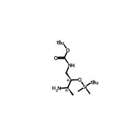 C[C@@H](N)[C@@H](CNC(=O)OC(C)(C)C)O[Si](C)(C)C(C)(C)C